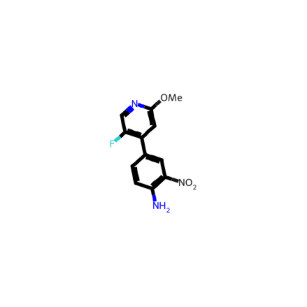 COc1cc(-c2ccc(N)c([N+](=O)[O-])c2)c(F)cn1